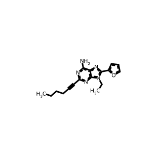 CCCCC#Cc1nc(N)c2nc(-c3ccco3)n(CC)c2n1